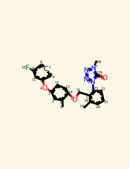 Cc1cc(Oc2cccc(F)c2)ccc1OCc1c(C)cccc1-n1nnn(C)c1=O